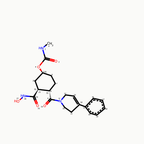 CNC(=O)O[C@H]1CC[C@H](C(=O)N2CC=C(c3ccccc3)CC2)[C@@H](C(=O)NO)C1